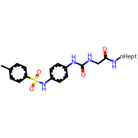 CCCCCCCNC(=O)CNC(=O)Nc1ccc(NS(=O)(=O)c2ccc(C)cc2)cc1